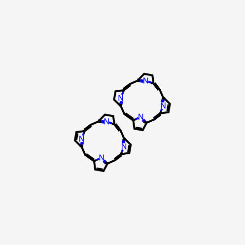 C1=CC2=NC1=CC1=NC(=CC3=NC(=CC4=NC(=C2)C=C4)CC3)C=C1.C1=CC2=NC1=CC1=NC(=CC3=NC(=CC4=NC(=C2)C=C4)CC3)CC1